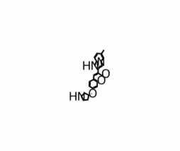 CC1=CN2C=C(c3cc4ccc(O[C@@H]5CCNC5)cc4oc3=O)NC2C=C1